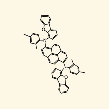 Cc1ccc(N(c2ccc3ccc4c(N(c5ccc(C)cc5C)c5cccc6c5oc5ccccc56)ccc5ccc2c3c54)c2cccc3c2oc2ccccc23)c(C)c1